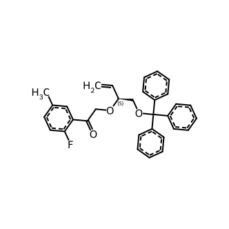 C=C[C@@H](COC(c1ccccc1)(c1ccccc1)c1ccccc1)OCC(=O)c1cc(C)ccc1F